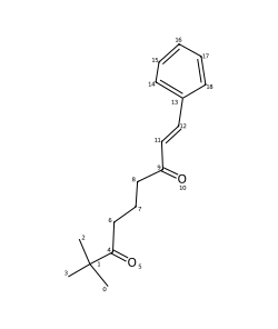 CC(C)(C)C(=O)CCCC(=O)/C=C/c1ccccc1